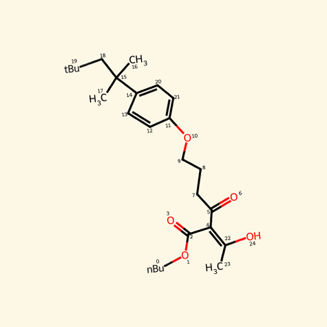 CCCCOC(=O)/C(C(=O)CCCOc1ccc(C(C)(C)CC(C)(C)C)cc1)=C(\C)O